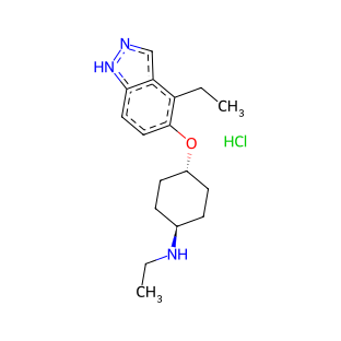 CCN[C@H]1CC[C@H](Oc2ccc3[nH]ncc3c2CC)CC1.Cl